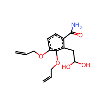 C=CCOc1ccc(C(N)=O)c(CC(O)O)c1OCC=C